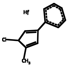 CC1=CC(c2ccccc2)=CC1Cl.[Hf]